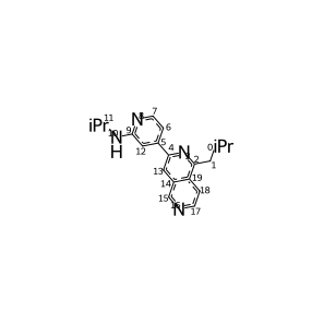 CC(C)Cc1nc(-c2ccnc(NC(C)C)c2)cc2cnccc12